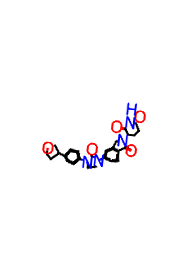 O=C1CCC(N2Cc3cc(N4CCN(c5ccc(C6CCOC6)cc5)C4=O)ccc3C2=O)C(=O)N1